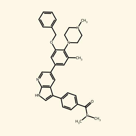 Cc1cc(-c2cnc3[nH]cc(-c4ccc(C(=O)N(C)C)cc4)c3c2)cc(OCc2ccccc2)c1N1CCN(C)CC1